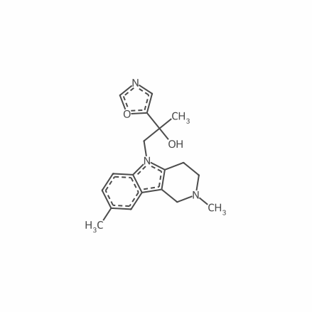 Cc1ccc2c(c1)c1c(n2CC(C)(O)c2cnco2)CCN(C)C1